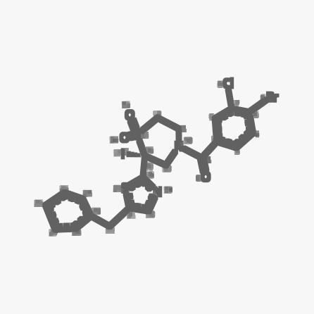 O=C(c1ccc(Br)c(Cl)c1)N1CCS(=O)(=O)[C@](F)(c2ncc(Cc3ccccc3)s2)C1